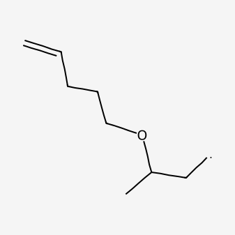 [CH2]CC(C)OCCCC=C